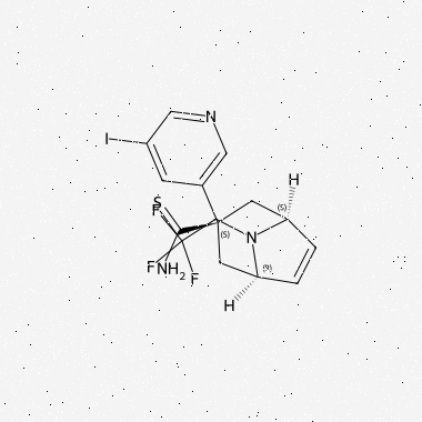 NC(=S)[C@@]1(c2cncc(I)c2)C[C@H]2C=C[C@@H](C1)N2CC(F)(F)F